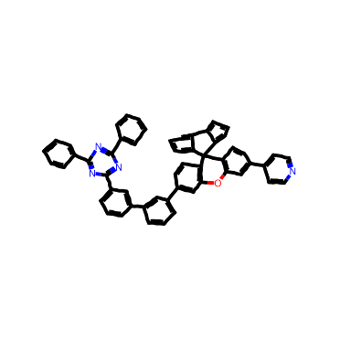 c1ccc(-c2nc(-c3ccccc3)nc(-c3cccc(-c4cccc(-c5ccc6c(c5)Oc5cc(-c7ccncc7)ccc5C65c6ccccc6-c6ccccc65)c4)c3)n2)cc1